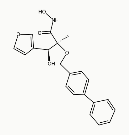 C[C@@](OCc1ccc(-c2ccccc2)cc1)(C(=O)NO)[C@@H](O)c1ccoc1